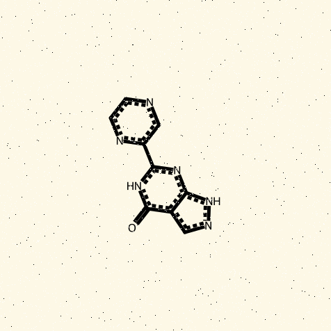 O=c1[nH]c(-c2cnccn2)nc2[nH]ncc12